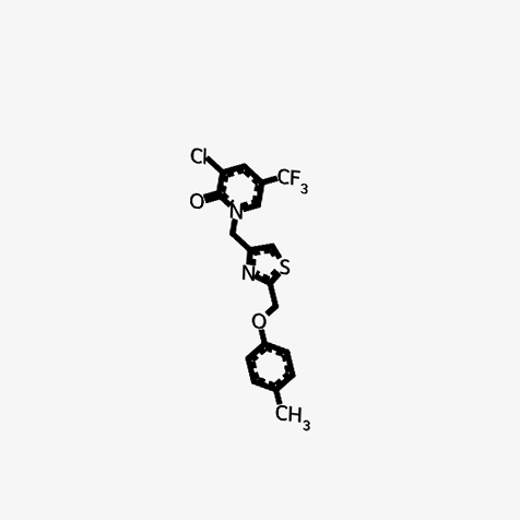 Cc1ccc(OCc2nc(Cn3cc(C(F)(F)F)cc(Cl)c3=O)cs2)cc1